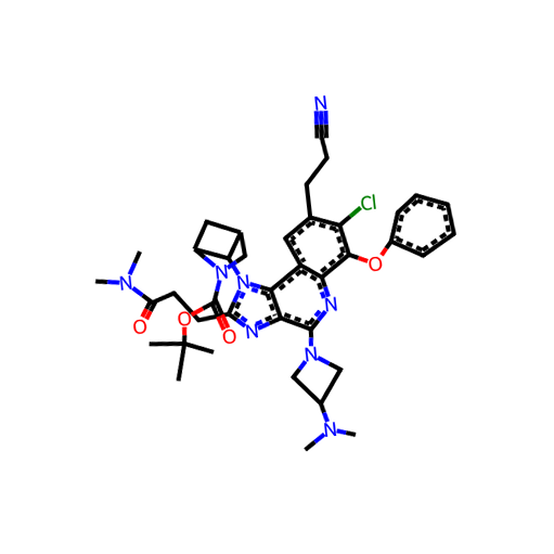 CN(C)C(=O)CCc1nc2c(N3CC(N(C)C)C3)nc3c(Oc4ccccc4)c(Cl)c(CCC#N)cc3c2n1C1C2CC1N(C(=O)OC(C)(C)C)C2